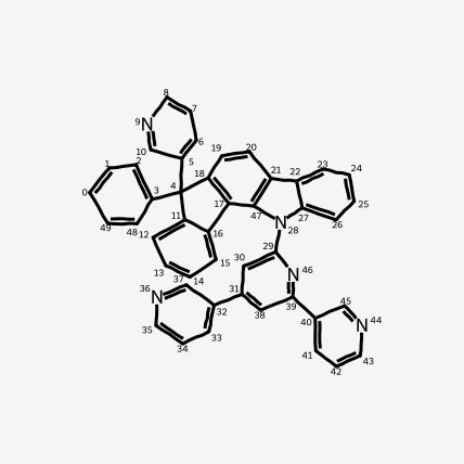 c1ccc(C2(c3cccnc3)c3ccccc3-c3c2ccc2c4ccccc4n(-c4cc(-c5cccnc5)cc(-c5cccnc5)n4)c32)cc1